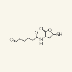 O=CCCCCC(=O)N[C@H]1CC(S)OC1=O